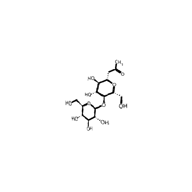 CC(=O)C[C@@H]1O[C@H](CO)[C@@H](OC2O[C@H](CO)[C@@H](O)[C@H](O)[C@H]2O)[C@H](O)[C@H]1O